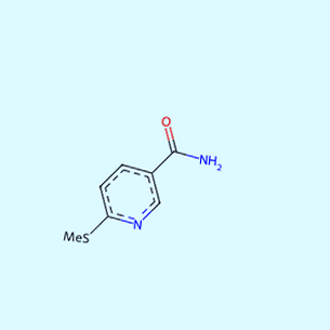 CSc1ccc(C(N)=O)cn1